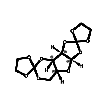 C1COC2(O1)OC[C@H]1O[C@@H]3OC4(OCCO4)O[C@@H]3[C@H]1O2